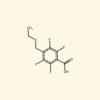 CCOCc1c(F)c(F)c(C(=O)O)c(F)c1F